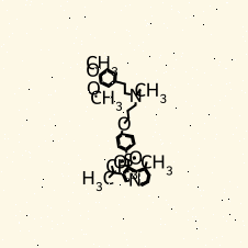 COc1ccc(CCN(C)CCCOc2ccc(S(=O)(=O)c3c(C(C)C)cn4cccc(C)c34)cc2)cc1OC